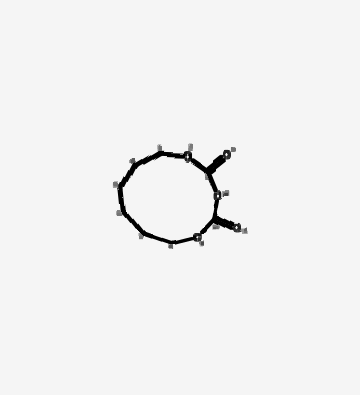 O=C1OCCCCCCOC(=O)O1